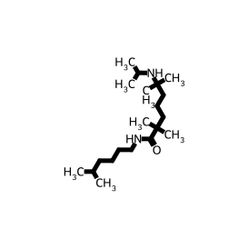 CC(C)CCCCNC(=O)C(C)(C)CCCC(C)(C)NC(C)C